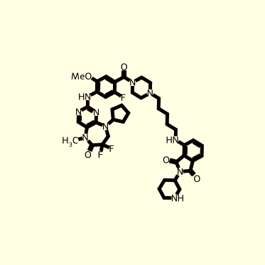 COc1cc(C(=O)N2CCN(CCCCCNc3cccc4c3C(=O)N(C3CCCNC3)C4=O)CC2)c(F)cc1Nc1ncc2c(n1)N(C1CCCC1)CC(F)(F)C(=O)N2C